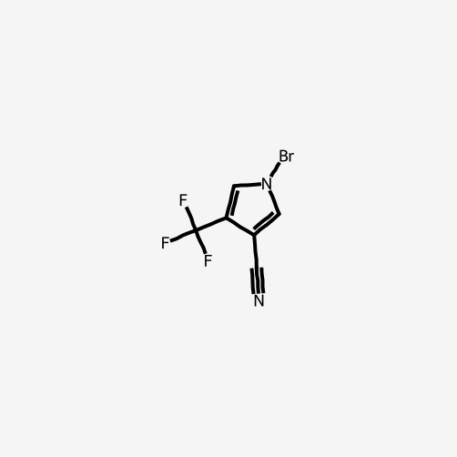 N#Cc1cn(Br)cc1C(F)(F)F